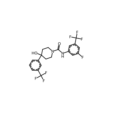 O=C(Nc1cc(F)cc(C(F)(F)F)c1)N1CCC(O)(c2cccc(C(F)(F)F)c2)CC1